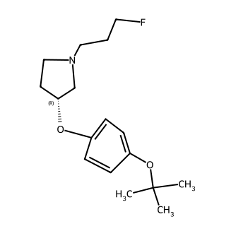 CC(C)(C)Oc1ccc(O[C@@H]2CCN(CCCF)C2)cc1